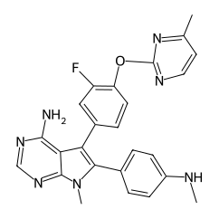 CNc1ccc(-c2c(-c3ccc(Oc4nccc(C)n4)c(F)c3)c3c(N)ncnc3n2C)cc1